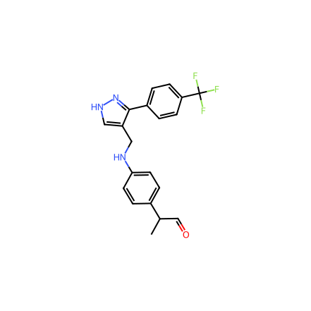 CC(C=O)c1ccc(NCc2c[nH]nc2-c2ccc(C(F)(F)F)cc2)cc1